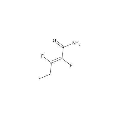 NC(=O)C(F)=C(F)CF